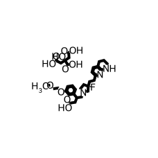 COCCOc1cccc(C(CC(=O)O)CN2CC[C@@](F)(CCc3ccc4c(n3)NCCC4)C2)c1.O=C(O)CC(O)(CC(=O)O)C(=O)O